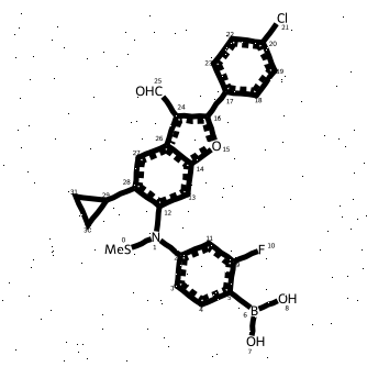 CSN(c1ccc(B(O)O)c(F)c1)c1cc2oc(-c3ccc(Cl)cc3)c(C=O)c2cc1C1CC1